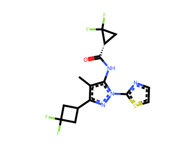 Cc1c(C2CC(F)(F)C2)nn(-c2nccs2)c1NC(=O)[C@H]1CC1(F)F